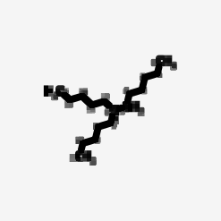 CCCCC[SiH2][SiH](CCCCC)CCCCC